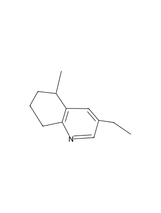 CCc1cnc2c(c1)C(C)CCC2